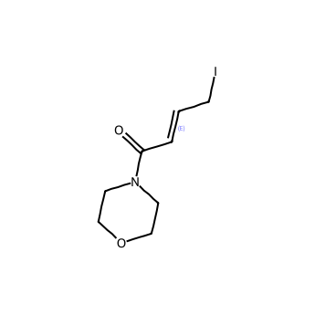 O=C(/C=C/CI)N1CCOCC1